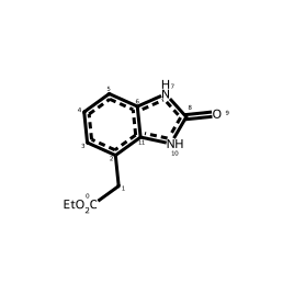 CCOC(=O)Cc1cccc2[nH]c(=O)[nH]c12